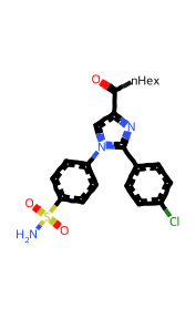 CCCCCCC(=O)c1cn(-c2ccc(S(N)(=O)=O)cc2)c(-c2ccc(Cl)cc2)n1